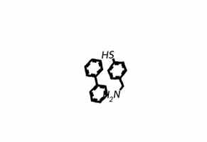 NCc1ccc(S)cc1.c1ccc(-c2ccccc2)cc1